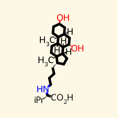 CC(C)[C@H](NCCCC[C@H]1CC[C@H]2[C@@H]3[C@@H](O)C[C@@H]4C[C@H](O)CC[C@]4(C)[C@H]3CC[C@]12C)C(=O)O